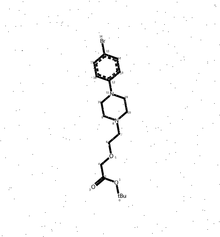 CC(C)(C)OC(=O)COCCN1CCN(c2ccc(Br)cc2)CC1